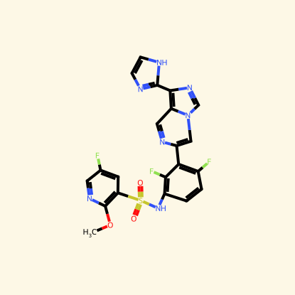 COc1ncc(F)cc1S(=O)(=O)Nc1ccc(F)c(-c2cn3cnc(-c4ncc[nH]4)c3cn2)c1F